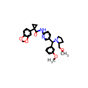 COCC1CCCN1C(c1ccc(NC(=O)C2(c3ccc4c(c3)OCO4)CC2)nc1)c1cccc(OC)c1